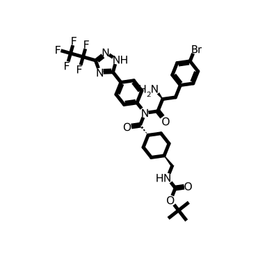 CC(C)(C)OC(=O)NC[C@H]1CC[C@H](C(=O)N(C(=O)[C@@H](N)Cc2ccc(Br)cc2)c2ccc(-c3nc(C(F)(F)C(F)(F)F)n[nH]3)cc2)CC1